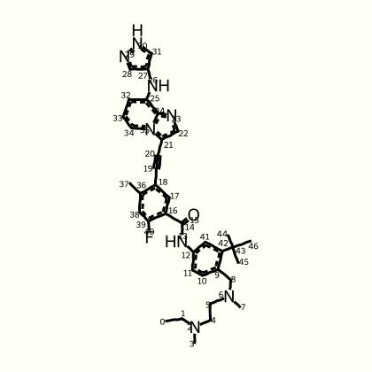 CCN(C)CCN(C)Cc1ccc(NC(=O)c2cc(C#Cc3cnc4c(Nc5cn[nH]c5)cccn34)c(C)cc2F)cc1C(C)(C)C